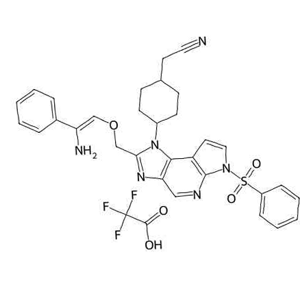 N#CCC1CCC(n2c(CO/C=C(\N)c3ccccc3)nc3cnc4c(ccn4S(=O)(=O)c4ccccc4)c32)CC1.O=C(O)C(F)(F)F